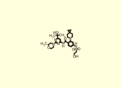 C[C@@H]1CN(c2nc(NC(=O)c3ccc(NS(=O)(=O)CCO)cc3N3CCC4(CC3)CC4)cc(C(C)(C)O)n2)CCO1